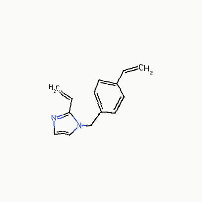 C=Cc1ccc(Cn2ccnc2C=C)cc1